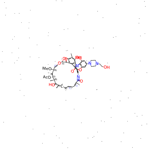 CO[C@H]1/C=C/O[C@@]2(C)Oc3c(C)c(O)c4c(=O)c(c5oc6cc(N7CCN(CCO)CC7)cc(O)c6nc-5c4c3C2=O)NC(=O)/C(C)=C\C=C\[C@H](C)C[C@@H](C)[C@@H](O)[C@@H](C)[C@H](OC(C)=O)[C@@H]1C